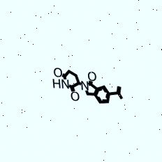 C=C(C)c1ccc2c(c1)C(=O)N(C1CCC(=O)NC1=O)C2